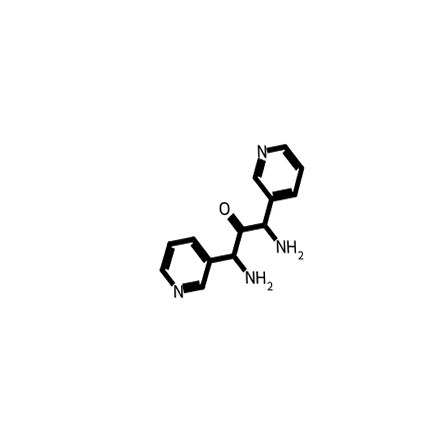 NC(C(=O)C(N)c1cccnc1)c1cccnc1